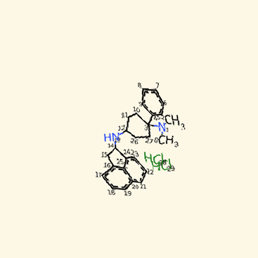 CN(C)C1(c2ccccc2)CCC(NC2Cc3cccc4cccc2c34)CC1.Cl.Cl